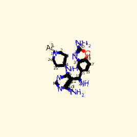 CC(=O)N1CCC(Nc2ncnc(N)c2C(=N)c2ccc3oc(N)nc3c2)CC1